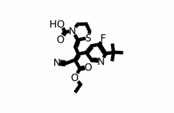 CCOC(=O)/C(C#N)=C(/C=C1\SCCCN1C(=O)O)c1cnc(C(C)(C)C)c(F)c1